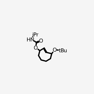 CC(C)NC(=O)OC1/C=C/C(OC(C)(C)C)CCCC1